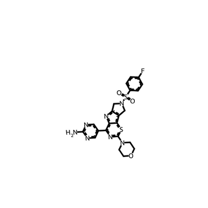 Nc1ncc(-c2nc(N3CCOCC3)sc3c4c(nc2-3)CN(S(=O)(=O)c2ccc(F)cc2)C4)cn1